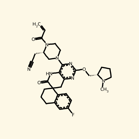 C=CC(=O)N1CCN(c2nc(OC[C@@H]3CCCN3C)nc3c2NC(=O)C2(CCCc4cc(F)ccc42)C3)C[C@@H]1CC#N